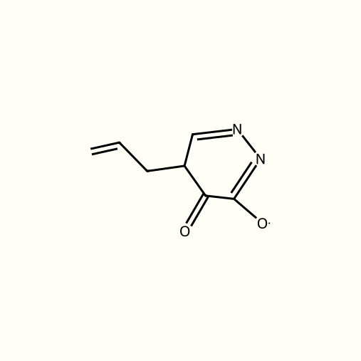 C=CCC1C=NN=C([O])C1=O